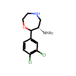 CC(=O)N[C@H]1CNCCOC1c1ccc(Cl)c(Cl)c1